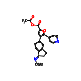 CON=C1CCc2cc(-c3cc(C(=O)OC(=O)C(F)(F)F)oc3-c3ccncc3)ccc21